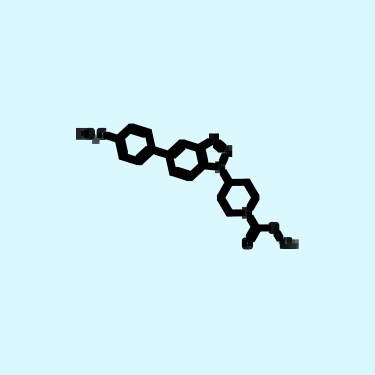 CC(C)(C)OC(=O)N1CCC(n2nnc3cc(-c4ccc(C(=O)O)cc4)ccc32)CC1